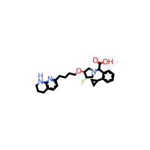 O=C(O)C(c1ccccc1C1CC1)N1C[C@@H](F)[C@@H](OCCCCc2ccc3c(n2)NCCC3)C1